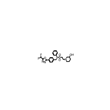 O=S(=O)(CCN1CCCC(O)C1)N(Cc1ccc(-c2nnc(C(F)F)o2)cc1)c1ccccc1